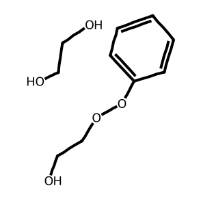 OCCO.OCCOOc1ccccc1